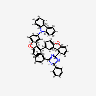 c1ccc(-c2nc(-c3ccccc3)nc(-c3cccc4oc5ccc(-c6cccc7oc8ccc(-n9c%10ccccc%10c%10ccccc%109)cc8c67)cc5c34)n2)cc1